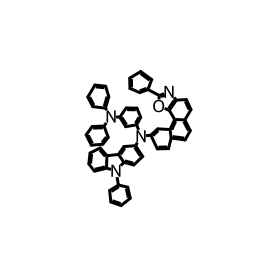 c1ccc(-c2nc3ccc4ccc5ccc(N(c6cccc(N(c7ccccc7)c7ccccc7)c6)c6ccc7c(c6)c6ccccc6n7-c6ccccc6)cc5c4c3o2)cc1